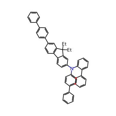 CCC1(CC)c2cc(-c3ccc(-c4ccccc4)cc3)ccc2-c2ccc(N(c3ccc(-c4ccccc4)cc3)c3ccccc3-c3ccccc3)cc21